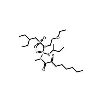 CCCCCCC(=S)C(=O)N(C)P(=S)(SC(C)CC)N(CCOCC)S(=O)(=O)CC(CC)CC